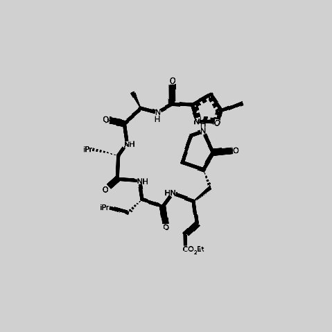 CCOC(=O)/C=C/[C@H](C[C@@H]1CCNC1=O)NC(=O)[C@H](CC(C)C)NC(=O)[C@@H](NC(=O)[C@@H](C)NC(=O)c1cc(C)on1)C(C)C